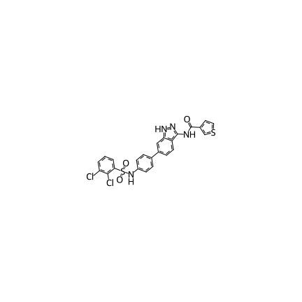 O=C(Nc1n[nH]c2cc(-c3ccc(NS(=O)(=O)c4cccc(Cl)c4Cl)cc3)ccc12)c1ccsc1